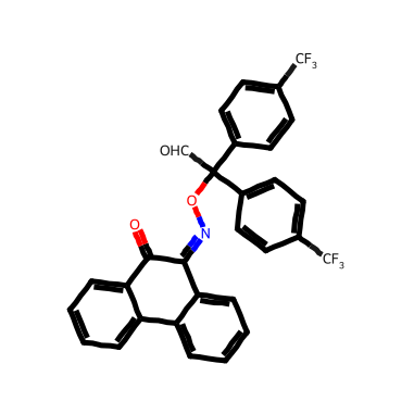 O=CC(ON=C1C(=O)c2ccccc2-c2ccccc21)(c1ccc(C(F)(F)F)cc1)c1ccc(C(F)(F)F)cc1